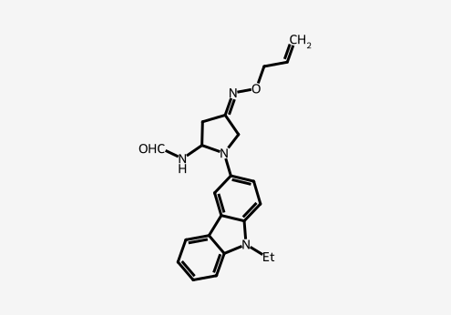 C=CCON=C1CC(NC=O)N(c2ccc3c(c2)c2ccccc2n3CC)C1